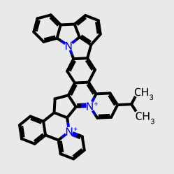 CC(C)c1cc[n+]2c3c(c4cc5c(cc4c2c1)c1cccc2c4ccccc4n5c21)CC1c2ccccc2-c2cccc[n+]2C31